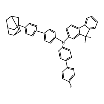 CC1(C)c2ccccc2-c2ccc(N(c3ccc(-c4ccc(F)cc4)cc3)c3ccc(-c4ccc(C56CC7CC(CC(C7)C5)C6)cc4)cc3)cc21